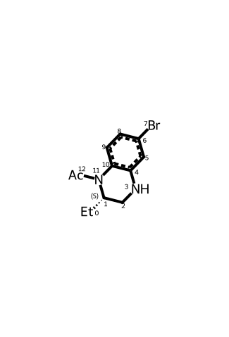 CC[C@H]1CNc2cc(Br)ccc2N1C(C)=O